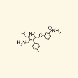 Cc1ccc(-c2c(COc3cccc(C(N)=O)c3)c(C)nc(CC(C)C)c2CN)cc1